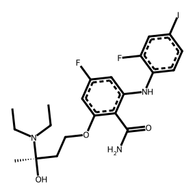 CCN(CC)[C@](C)(O)CCOc1cc(F)cc(Nc2ccc(I)cc2F)c1C(N)=O